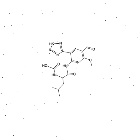 COc1cc(NC(=O)C(CC(C)C)NC(=O)O)c(-c2nn[nH]n2)cc1C=O